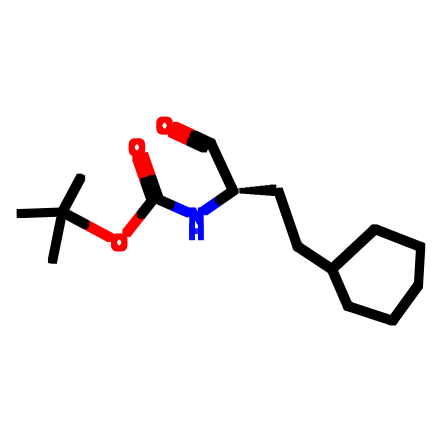 CC(C)(C)OC(=O)N[C@H](C=O)CCC1CCCCC1